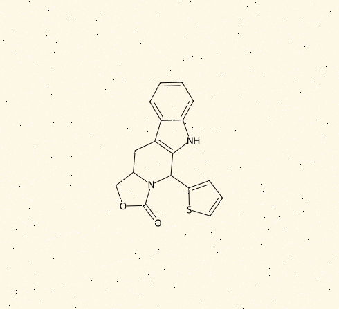 O=C1OCC2Cc3c([nH]c4ccccc34)C(c3cccs3)N12